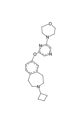 c1cc2c(cc1Oc1cncc(N3CCOCC3)n1)CCN(C1CCC1)CC2